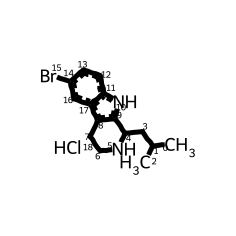 CC(C)CC1NCCc2c1[nH]c1ccc(Br)cc21.Cl